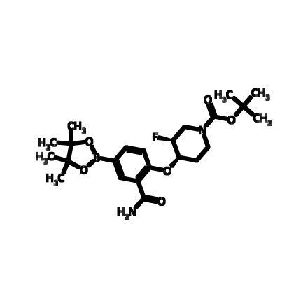 CC(C)(C)OC(=O)N1CC[C@@H](Oc2ccc(B3OC(C)(C)C(C)(C)O3)cc2C(N)=O)[C@@H](F)C1